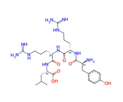 CC(C)C[C@H](NC(=O)[C@H](CCCNC(=N)N)NC(=O)[C@H](CCCNC(=N)N)NC(=O)[C@@H](N)Cc1ccc(O)cc1)C(=O)O